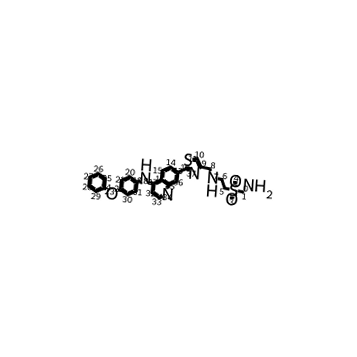 NCS(=O)(=O)CCNCc1csc(-c2ccc3c(Nc4ccc(Oc5ccccc5)cc4)ccnc3c2)n1